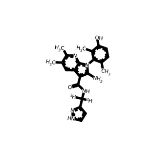 [2H]C([2H])(NC(=O)c1c(N)n(-c2c(C)ccc(O)c2C)c2nc(C)c(C)cc12)c1cc[nH]n1